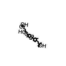 CCC(O)(C=Cc1ccc(C(CC)(CC)c2ccc(OCC(O)CCCC(=O)O)c(C)c2)cc1C)CC